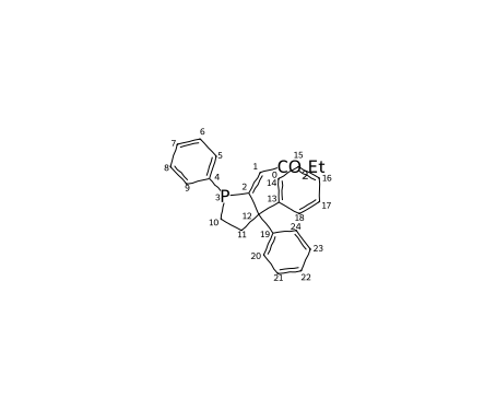 CCOC(=O)/C=C1/P(c2ccccc2)CCC1(c1ccccc1)c1ccccc1